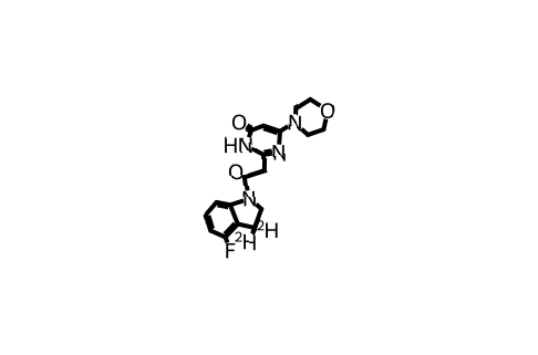 [2H]C1([2H])CN(C(=O)Cc2nc(N3CCOCC3)cc(=O)[nH]2)c2cccc(F)c21